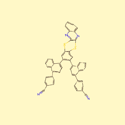 N#Cc1ccc(-c2ccc(-c3cc4c(cc3-c3ccc(-c5ccc(C#N)cc5)c5ccccc35)Sc3nc5ccccc5nc3S4)c3ccccc23)cc1